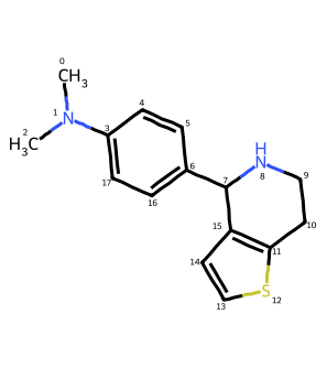 CN(C)c1ccc(C2NCCc3sccc32)cc1